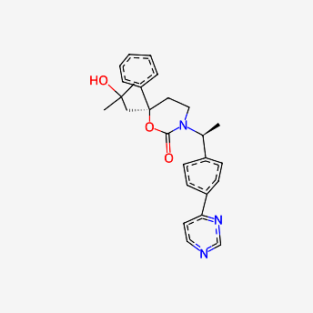 C[C@@H](c1ccc(-c2ccncn2)cc1)N1CC[C@](CC(C)(C)O)(c2ccccc2)OC1=O